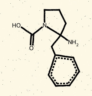 NC1(Cc2ccccc2)CCCN1C(=O)O